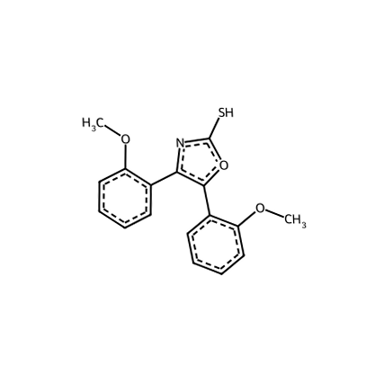 COc1ccccc1-c1nc(S)oc1-c1ccccc1OC